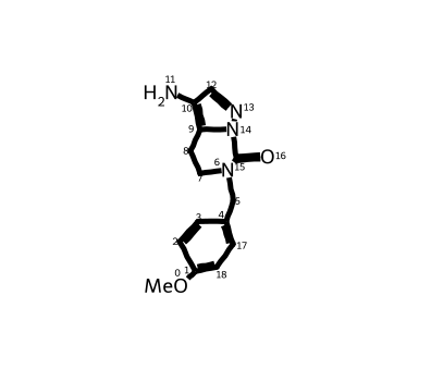 COc1ccc(CN2CCc3c(N)cnn3C2=O)cc1